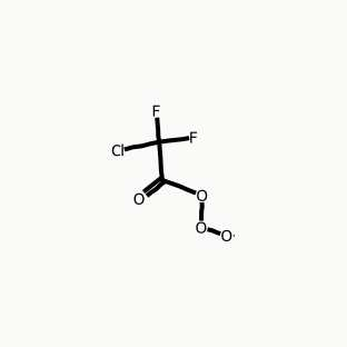 [O]OOC(=O)C(F)(F)Cl